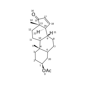 CC(=O)O[C@H]1CC[C@@]2(C)C(CC[C@@H]3C2CC[C@]2(C)C(=O)C=C[C@@H]32)C1